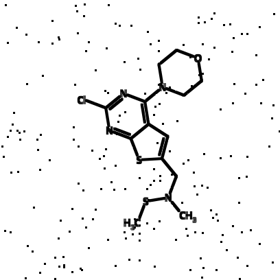 CSN(C)Cc1cc2c(N3CCOCC3)nc(Cl)nc2s1